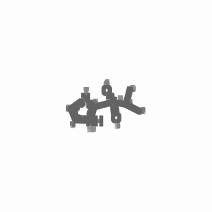 CC(C)S(=O)(=O)c1ncc[nH]1